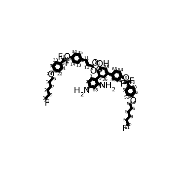 Nc1ccc(C(COC(=O)/C=C/c2ccc(OC(F)(F)c3ccc(OCCCCCCF)cc3)cc2)C/C(=C\C(=O)O)c2ccc(OC(F)(F)c3ccc(OCCCCCCF)cc3)cc2)c(N)c1